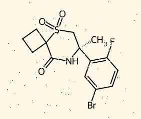 C[C@@]1(c2cc(Br)ccc2F)CS(=O)(=O)C2(CCC2)C(=O)N1